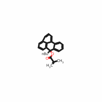 C=C(C)C(=O)OC1(CCCC)c2ccccc2-c2cccc3cccc1c23